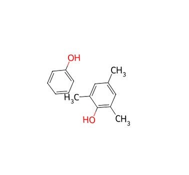 Cc1cc(C)c(O)c(C)c1.Oc1ccccc1